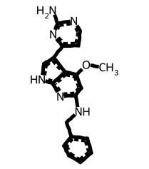 COc1cc(NCc2ccccc2)nc2[nH]cc(-c3ccnc(N)n3)c12